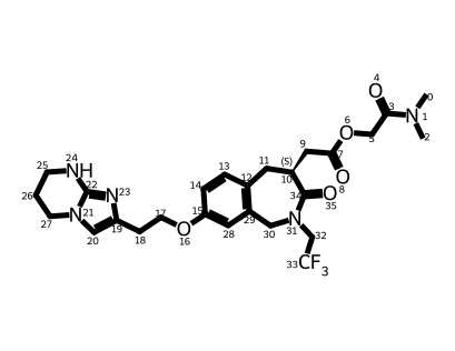 CN(C)C(=O)COC(=O)C[C@@H]1Cc2ccc(OCCc3cn4c(n3)NCCC4)cc2CN(CC(F)(F)F)C1=O